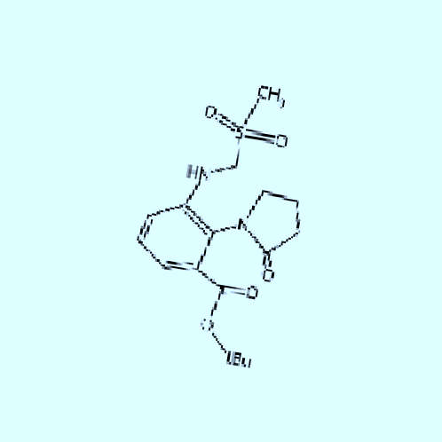 CC(C)(C)OC(=O)c1cccc(NCS(C)(=O)=O)c1N1CCCC1=O